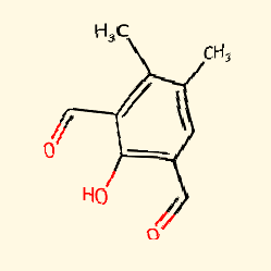 Cc1cc(C=O)c(O)c(C=O)c1C